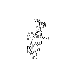 CC[C@@H]1CN(Cc2cc(C(OCc3cn(CC)nn3)C(F)(F)C(=O)O)ccc2C)S(O)(O)c2ccccc2O1